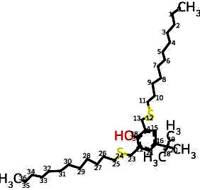 CCCCCCCCCCCCSCc1cc(C(C)(C)C)cc(CSCCCCCCCCCCCC)c1O